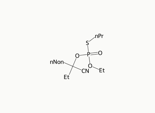 CCCCCCCCCC(C#N)(CC)OP(=O)(OCC)SCCC